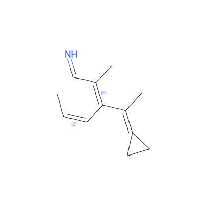 C/C=C\C(C(C)=C1CC1)=C(\C)C=N